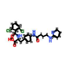 O=C(CCCNc1ccccn1)Nc1ccc(CC(NC(=O)c2c(Cl)cccc2Cl)C(=O)O)cc1